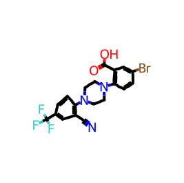 N#Cc1cc(C(F)(F)F)ccc1N1CCN(c2ccc(Br)cc2C(=O)O)CC1